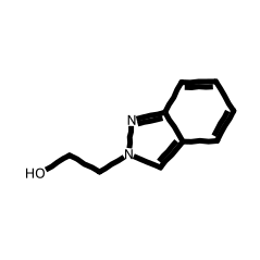 OCCn1cc2ccccc2n1